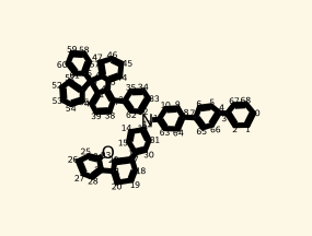 c1ccc(-c2ccc(-c3ccc(N(c4ccc(-c5cccc6c5oc5ccccc56)cc4)c4cccc(-c5cccc6c5-c5ccccc5C6(c5ccccc5)c5ccccc5)c4)cc3)cc2)cc1